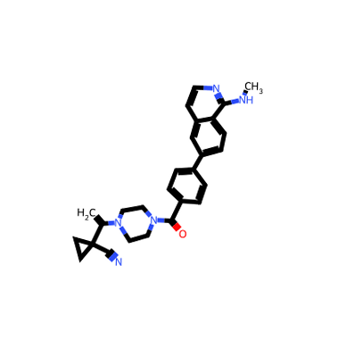 C=C(N1CCN(C(=O)c2ccc(-c3ccc4c(NC)nccc4c3)cc2)CC1)C1(C#N)CC1